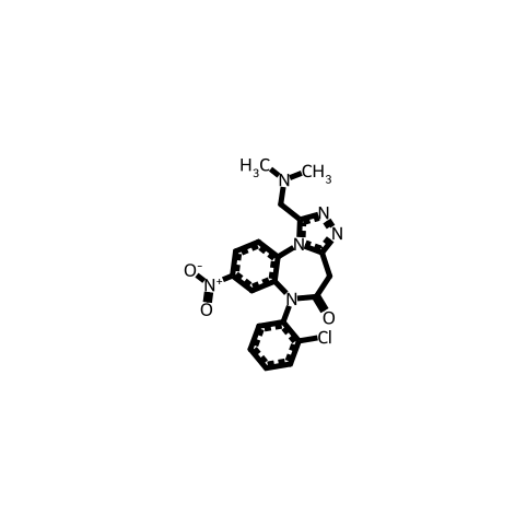 CN(C)Cc1nnc2n1-c1ccc([N+](=O)[O-])cc1N(c1ccccc1Cl)C(=O)C2